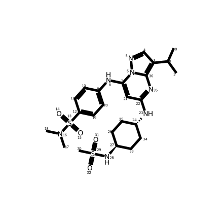 CC(C)c1cnn2c(Nc3ccc(S(=O)(=O)N(C)C)cc3)cc(N[C@H]3CC[C@H](NS(C)(=O)=O)CC3)nc12